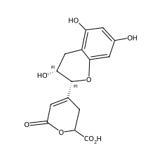 O=C1C=C([C@H]2Oc3cc(O)cc(O)c3C[C@H]2O)CC(C(=O)O)O1